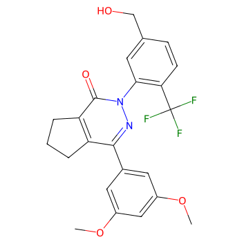 COc1cc(OC)cc(-c2nn(-c3cc(CO)ccc3C(F)(F)F)c(=O)c3c2CCC3)c1